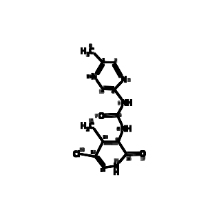 Cc1cnc(NC(=O)Nc2c(C)c(Cl)c[nH]c2=O)cn1